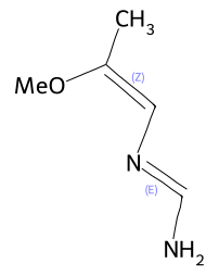 CO/C(C)=C\N=C\N